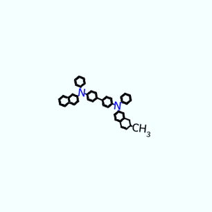 CC1C=Cc2ccc(N(c3ccccc3)c3ccc(-c4ccc(N(c5ccccc5)c5ccc6ccccc6c5)cc4)cc3)cc2C1